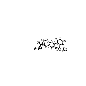 CCOC(=O)c1cc2c(nc1-c1ccccc1)CCN(C(=O)OC(C)(C)C)C2